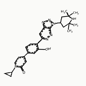 CC1(C)CC(n2nnc3cc(-c4ccc(-c5ccn(C6CC6)c(=O)c5)cc4O)nnc32)CC(C)(C)N1